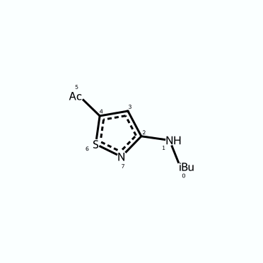 CCC(C)Nc1cc(C(C)=O)sn1